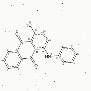 O=C1c2ccccc2C(=O)c2c(Nc3cc[c]cc3)ccc(O)c21